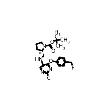 CC(C)(C)OC(=O)N1CCC[C@H]1CNc1cnc(Cl)nc1Oc1ccc(CF)cc1